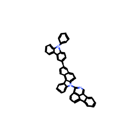 c1ccc(-n2c3ccccc3c3cc(-c4ccc5c(ccc6c5c5ccccc5n6-c5ncc6c7c(cccc57)-c5ccccc5-6)c4)ccc32)cc1